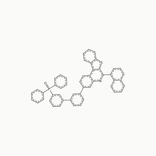 O=P(c1ccccc1)(c1ccccc1)c1cccc(-c2cccc(-c3ccc4c(c3)nc(-c3cccc5ccccc35)c3sc5ccccc5c34)c2)c1